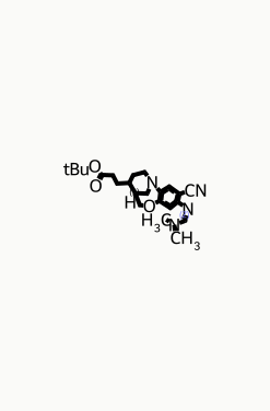 CN(C)/C=N\c1cc2c(cc1C#N)N1CCC(CCC(=O)OC(C)(C)C)[C@H](CO2)C1